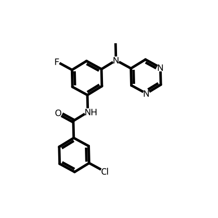 CN(c1cncnc1)c1cc(F)cc(NC(=O)c2cccc(Cl)c2)c1